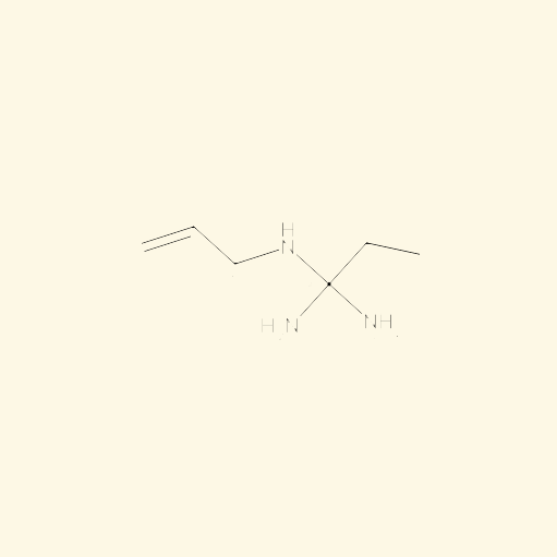 C=CCNC(N)(N)CC